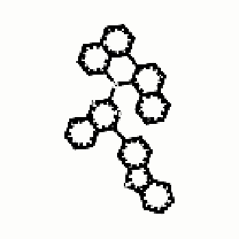 c1ccc2c3c(ccc2c1)-c1cccc2cccc(c12)N3c1nc(-c2ccc3c(c2)oc2ccccc23)c2ccccc2n1